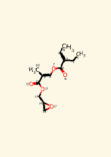 CC=C(CC)C(=O)OC=C(C)C(=O)OCC1CO1